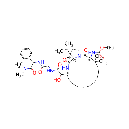 CN(C)C(=O)C(NC(=O)CNC(=O)C(O)[C@@H]1CCCCCCCCCC(C)(C)[C@H](NC(=O)OC(C)(C)C)C(=O)N2CC3C([C@H]2C(=O)N1)C3(C)C)c1ccccc1